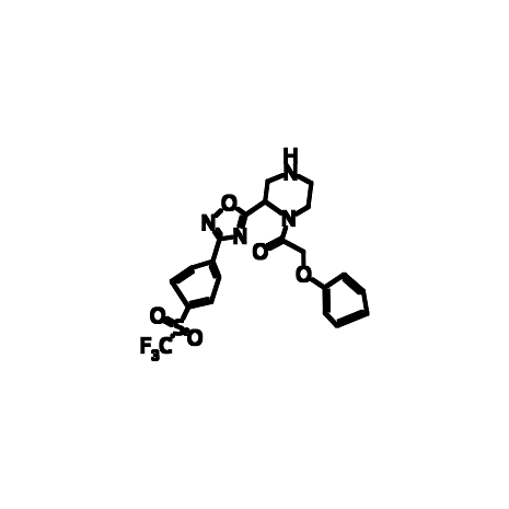 O=C(COc1ccccc1)N1CCNCC1c1nc(-c2ccc(S(=O)(=O)C(F)(F)F)cc2)no1